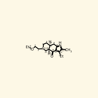 CCOCCN1CC[C@H]2Cc3[nH]c(C)c(CC)c3C(=O)[C@@H]2C1